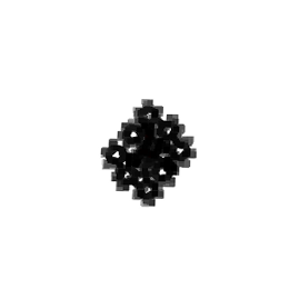 N#Cc1cc(-n2c3ccccc3c3ccc4c(c32)C(c2ccccc2)(c2ccccc2)c2ccccc2-4)cc(C#N)c1-n1c2ccccc2c2ccc3c(c21)C(c1ccccc1)(c1ccccc1)c1ccccc1-3